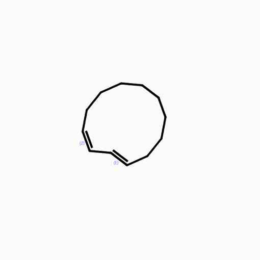 C1=C\CCCCCCCC/C=C/1